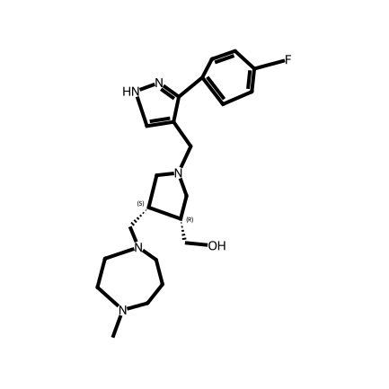 CN1CCCN(C[C@@H]2CN(Cc3c[nH]nc3-c3ccc(F)cc3)C[C@@H]2CO)CC1